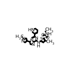 CCNS(=O)(=O)c1sc(NC2=NC(C3=CCCNC3)=CN3C2=NCC3c2cnn(C)c2)cc1C